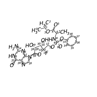 CC(C)OC(=O)C(C)NP(=O)(OC[C@@]1(F)O[C@@H](n2cnc3c(=O)[nH]c(N)nc32)[C@H](O)[C@@H]1O)Oc1ccccc1